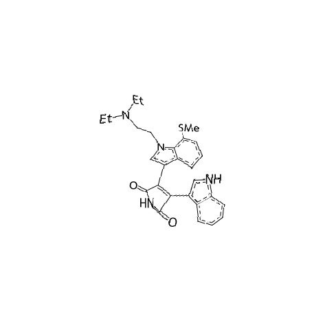 CCN(CC)CCn1cc(C2=C(c3c[nH]c4ccccc34)C(=O)NC2=O)c2cccc(SC)c21